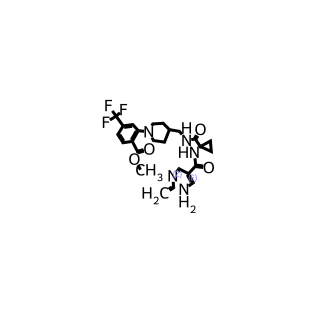 C=C/N=C\C(=C/N)C(=O)NC1(C(=O)NCC2CCN(c3cc(C(F)(F)F)ccc3C(=O)OC)CC2)CC1